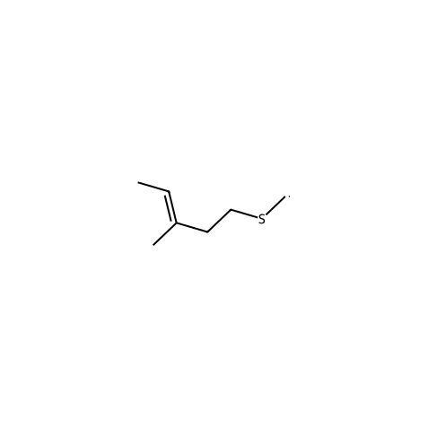 [CH2]SCCC(C)=CC